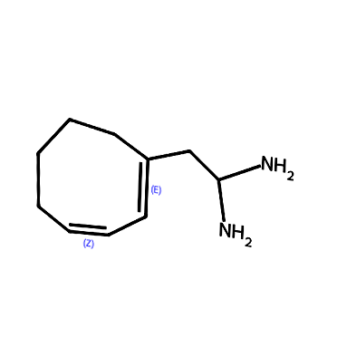 NC(N)C/C1=C/C=C\CCCC1